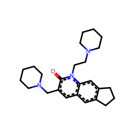 O=c1c(CN2CCCCC2)cc2cc3c(cc2n1CCN1CCCCC1)CCC3